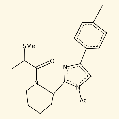 CSC(C)C(=O)N1CCCCC1c1nc(-c2ccc(C)cc2)cn1C(C)=O